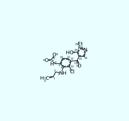 C=CCNc1c(C[SH](=O)=O)ccc(C(=O)c2cnn(CC)c2O)c1Cl